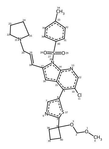 COCOC1(c2ncc(-c3c(Cl)cnc4c3cc(C=CCN3CCCC3)n4S(=O)(=O)c3ccc(C)cc3)s2)CCC1